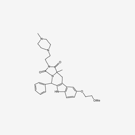 COCCOc1ccc2[nH]c3c(c2c1)CC1(C)C(=O)N(CCN2CCN(C)CC2)C(=O)N1C3c1ccccc1